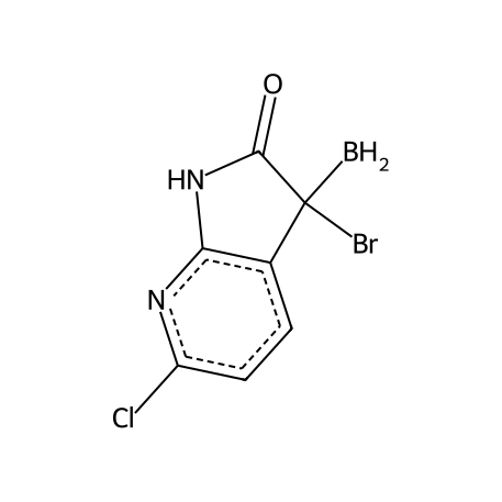 BC1(Br)C(=O)Nc2nc(Cl)ccc21